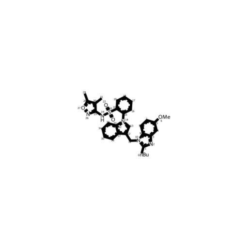 CCCCc1nc2cc(OC)ccc2n1Cc1cn(-c2ccccc2S(=O)(=O)Nc2noc(C)c2C)c2ccccc12